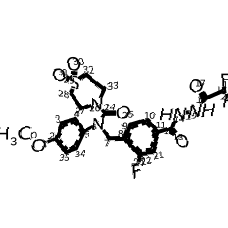 COc1ccc(N(Cc2ccc(C(=O)NNC(=O)C(F)F)cc2F)C(=O)N2CCS(=O)(=O)CC2)cc1